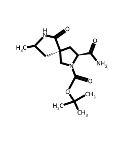 CC1C[C@@]2(C[C@@H](C(N)=O)N(C(=O)OC(C)(C)C)C2)C(=O)N1